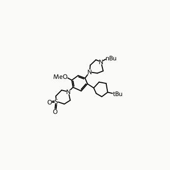 CCCCN1CCN(c2cc(OC)c(N3CCS(=O)(=O)CC3)cc2C2CCC(C(C)(C)C)CC2)CC1